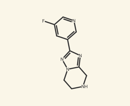 Fc1cncc(-c2nc3n(n2)CCNC3)c1